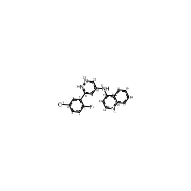 Fc1ccc(Cl)cc1-c1cc(Nc2ccnc3c[c]ccc23)cnn1